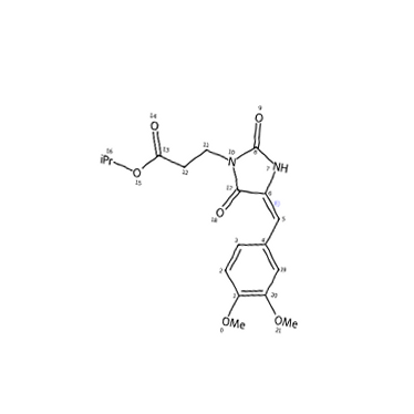 COc1ccc(/C=C2/NC(=O)N(CCC(=O)OC(C)C)C2=O)cc1OC